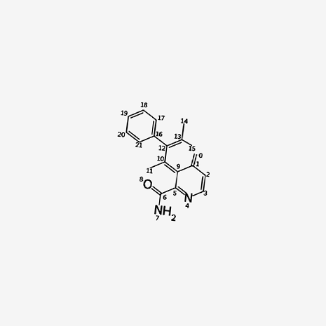 C=c1ccnc(C(N)=O)/c1=C(\C)C(=C(C)C)c1ccccc1